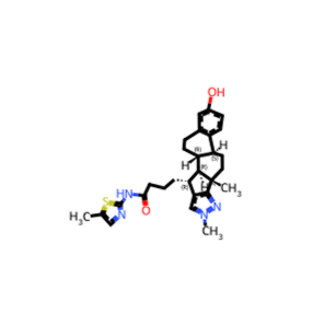 Cc1cnc(NC(=O)CCC[C@H]2c3cn(C)nc3[C@@]3(C)CC[C@@H]4c5ccc(O)cc5CC[C@H]4[C@H]23)s1